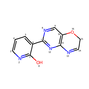 Oc1ncccc1-c1ncc2c(n1)N=CCO2